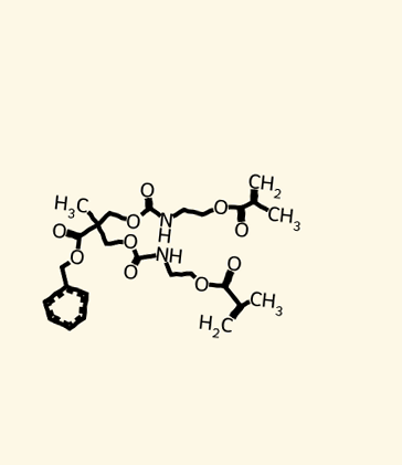 C=C(C)C(=O)OCCNC(=O)OCC(C)(COC(=O)NCCOC(=O)C(=C)C)C(=O)OCc1ccccc1